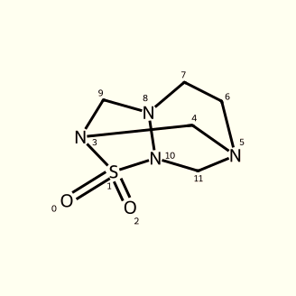 O=S1(=O)N2CN3CCN(C2)N1C3